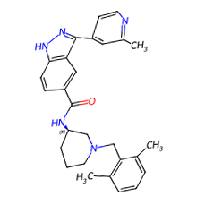 Cc1cc(-c2n[nH]c3ccc(C(=O)N[C@@H]4CCCN(Cc5c(C)cccc5C)C4)cc23)ccn1